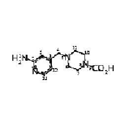 Nc1cc(CN2CCN(C(=O)O)CC2)ccn1